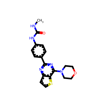 CNC(=O)Nc1ccc(-c2nc(N3CCOCC3)c3sccc3n2)cc1